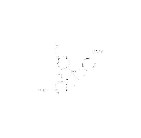 COc1ccc(CN(Cc2ccc(OC)cc2)S(=O)(=O)c2ccc(CBr)cc2Cl)cc1